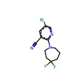 N#Cc1cc(Br)cnc1N1CCCC(F)(F)CC1